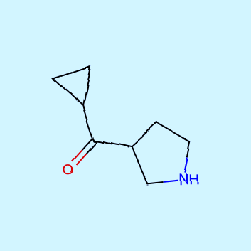 O=C([C]1CCNC1)C1CC1